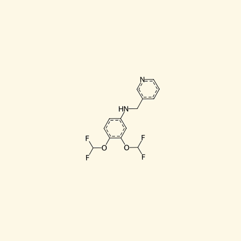 FC(F)Oc1ccc(NCc2cccnc2)cc1OC(F)F